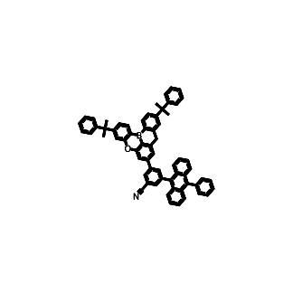 CC(C)(c1ccccc1)c1ccc2c(c1)Cc1cc(-c3cc(C#N)cc(-c4c5ccccc5c(-c5ccccc5)c5ccccc45)c3)cc3c1B2c1ccc(C(C)(C)c2ccccc2)cc1O3